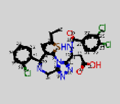 CCc1cc2c(s1)-n1c(nnc1[C@H](CC(=O)O)NC(=O)c1ccc(Cl)c(Cl)c1)CN=C2c1ccccc1Cl